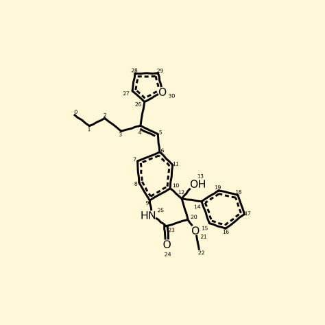 CCCC/C(=C\c1ccc2c(c1)C(O)(c1ccccc1)C(OC)C(=O)N2)c1ccco1